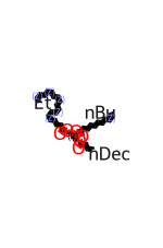 CC/C=C\C/C=C\C/C=C\C/C=C\C/C=C\CCCC(=O)OC[C@@H](COC(=O)CCCCCCCCCCCCC)OC(=O)CCCCCCC/C=C\CCCC